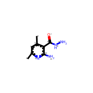 Cc1cc(C)c(C(=O)NN)c(N)n1